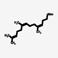 CCCCCCCCCCCC=C(C)CCC=C(C)CCC=C(C)C